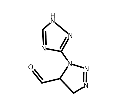 O=CC1CN=NN1c1nc[nH]n1